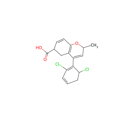 CC1C=C(C2=C(Cl)C=CCC2Cl)C2=C(C=CC(C(=O)O)C2)O1